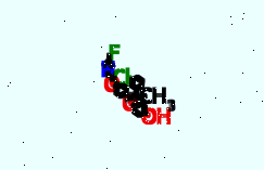 CC1=C(c2cccc(Cl)c2)[C@@H](c2ccc(OCCN3CC(CF)C3)cc2)Oc2ccc(O)cc21